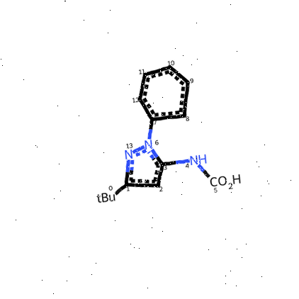 CC(C)(C)c1cc(NC(=O)O)n(-c2ccccc2)n1